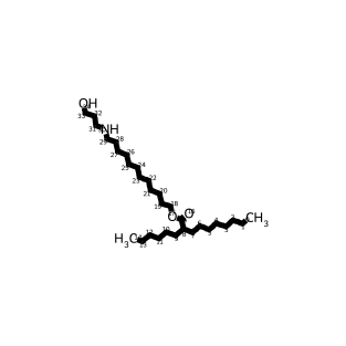 CCCCCCCCC(CCCCCC)C(=O)OCCCCCCCCCCCCNCCCO